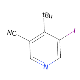 CC(C)(C)c1c(I)cncc1C#N